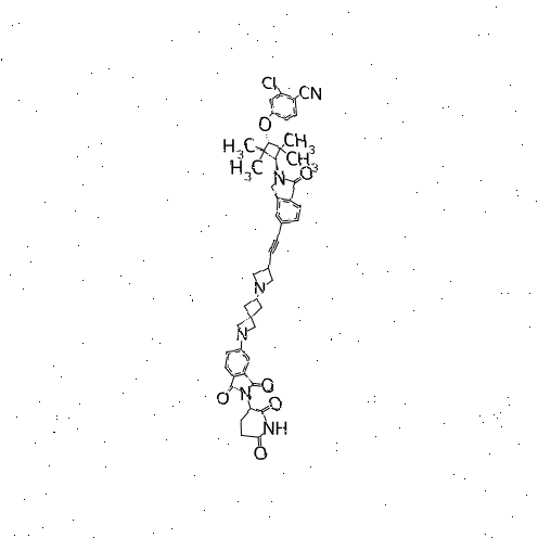 CC1(C)[C@H](Oc2ccc(C#N)c(Cl)c2)C(C)(C)[C@H]1N1Cc2cc(C#CC3CN(C4CC5(C4)CN(c4ccc6c(c4)C(=O)N(C4CCC(=O)NC4=O)C6=O)C5)C3)ccc2C1=O